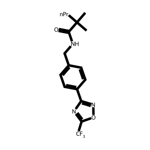 CCCC(C)(C)C(=O)NCc1ccc(-c2noc(C(F)(F)F)n2)cc1